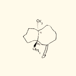 C[C@]12CCCC(=O)[C@]1(C)CCC2